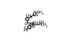 Cc1ccc(C(=O)Nc2cc(C(F)(F)F)ccc2S(=O)(=O)N(C)CCCN(C)C)cc1C#Cc1cnc(N)nc1